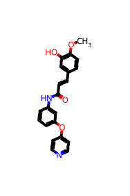 COc1ccc(/C=C/C(=O)Nc2cccc(Oc3ccncc3)c2)cc1O